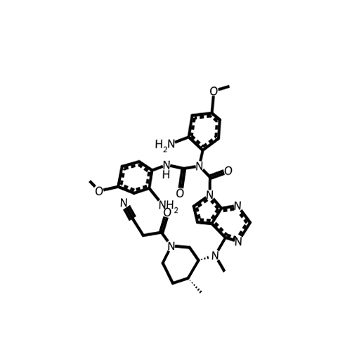 COc1ccc(NC(=O)N(C(=O)n2ccc3c(N(C)[C@H]4CN(C(=O)CC#N)CC[C@H]4C)ncnc32)c2ccc(OC)cc2N)c(N)c1